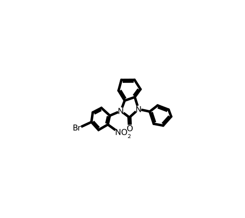 O=c1n(-c2ccccc2)c2ccccc2n1-c1ccc(Br)cc1[N+](=O)[O-]